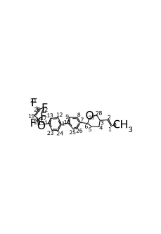 C/C=C/C1CCC(c2ccc(-c3ccc(OC(F)(F)C=C(F)F)cc3)cc2)OC1